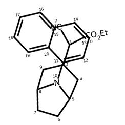 CCOC(=O)C(C#N)C1CC2CCC(C1)N2c1cccc2ccccc12